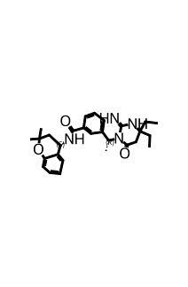 CCC1(CC)CC(=O)N([C@H](C)c2cccc(C(=O)N[C@H]3CC(C)(C)Oc4ccccc43)c2)C(=N)N1